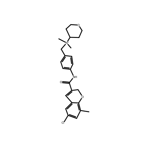 Cc1cc(Cl)cc2c1OCC(C(=O)Nc1ccc(C[N+](C)(C)C3CCOCC3)cc1)=C2